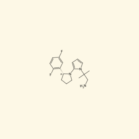 CC(C)(CN)n1cccc1N1CCC[C@@H]1c1cc(F)ccc1F